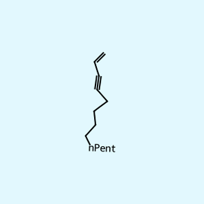 C=CC#CCCCCCCCCC